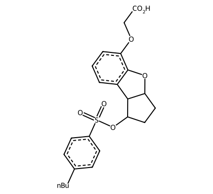 CCCCc1ccc(S(=O)(=O)OC2CCC3Oc4c(OCC(=O)O)cccc4C32)cc1